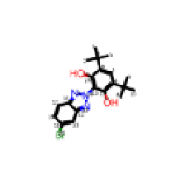 CC(C)(C)c1cc(C(C)(C)C)c(O)c(-n2nc3ccc(Br)cc3n2)c1O